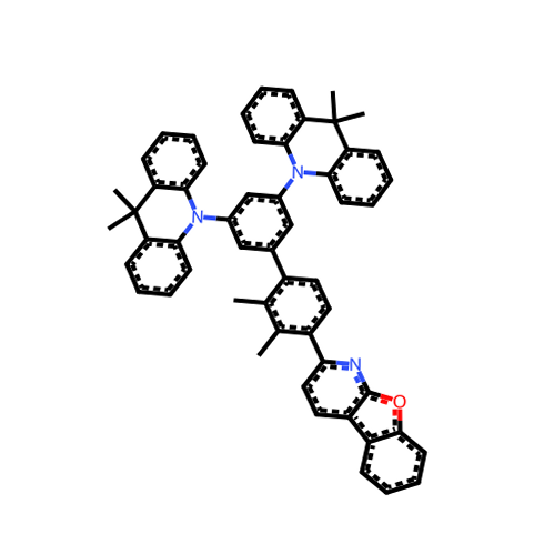 Cc1c(-c2cc(N3c4ccccc4C(C)(C)c4ccccc43)cc(N3c4ccccc4C(C)(C)c4ccccc43)c2)ccc(-c2ccc3c(n2)oc2ccccc23)c1C